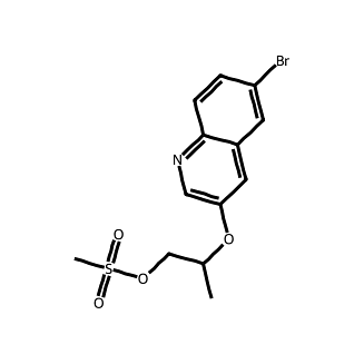 CC(COS(C)(=O)=O)Oc1cnc2ccc(Br)cc2c1